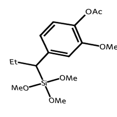 CCC(c1ccc(OC(C)=O)c(OC)c1)[Si](OC)(OC)OC